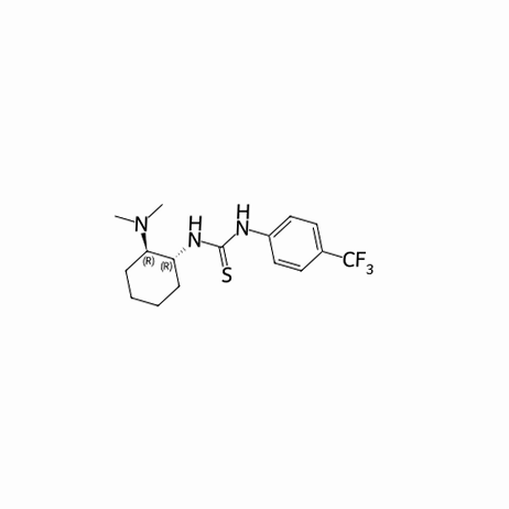 CN(C)[C@@H]1CCCC[C@H]1NC(=S)Nc1ccc(C(F)(F)F)cc1